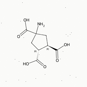 NC1(C(=O)O)C[C@@H](C(=O)O)[C@H](C(=O)O)C1